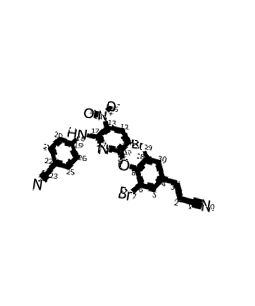 N#CC=Cc1cc(Br)c(Oc2ccc([N+](=O)[O-])c(Nc3ccc(C#N)cc3)n2)c(Br)c1